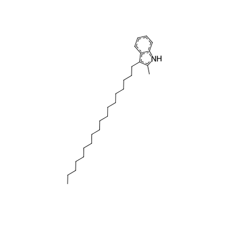 CCCCCCCCCCCCCCCCCCc1c(C)[nH]c2ccccc12